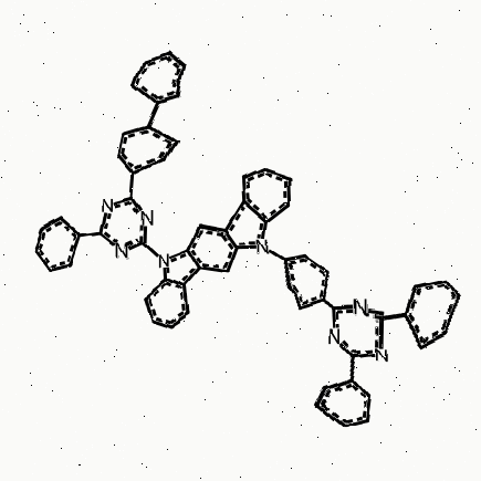 c1ccc(-c2ccc(-c3nc(-c4ccccc4)nc(-n4c5ccccc5c5cc6c(cc54)c4ccccc4n6-c4ccc(-c5nc(-c6ccccc6)nc(-c6ccccc6)n5)cc4)n3)cc2)cc1